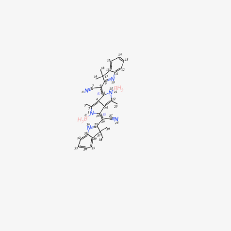 Bn1c(C)c2/c(=C(\C#N)C3=Nc4ccccc4C3(C)C)n(B)c(C)c2/c1=C(\C#N)C1=Nc2ccccc2C1(C)C